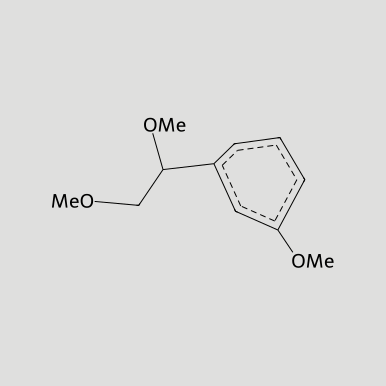 COCC(OC)c1cccc(OC)c1